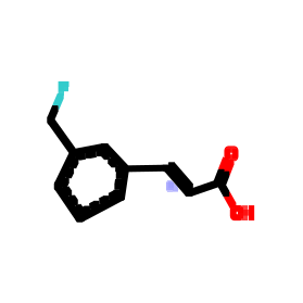 O=C(O)/C=C/c1cccc(CF)c1